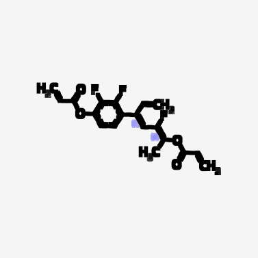 C=CC(=O)O/C(C)=C(F)/C=C(\C=C)c1ccc(OC(=O)C=C)c(F)c1F